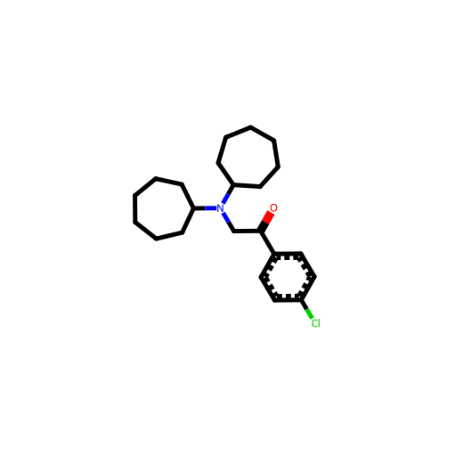 O=C(CN(C1CCCCCC1)C1CCCCCC1)c1ccc(Cl)cc1